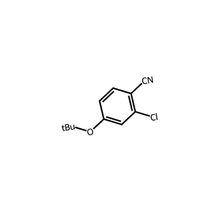 CC(C)(C)Oc1ccc(C#N)c(Cl)c1